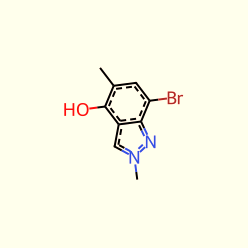 Cc1cc(Br)c2nn(C)cc2c1O